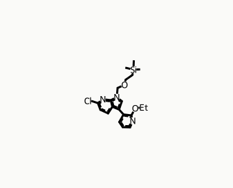 CCOc1ncccc1-c1cn(COCC[Si](C)(C)C)c2nc(Cl)ccc12